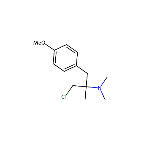 COc1ccc(CC(C)(CCl)N(C)C)cc1